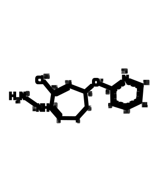 NNC1=CCCC(Oc2ccccn2)C=C1Cl